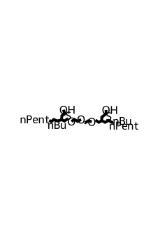 CCCCCC(CCCC)CCC(CCOCCOCCOCCC(CCC(CCCC)CCCCC)CC(O)=S)CC(O)=S